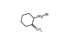 C=C1CCCC[CH]1[Mg][Br]